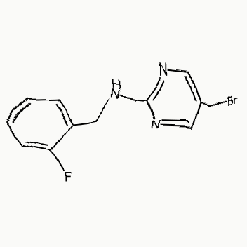 Fc1ccccc1CNc1ncc(Br)cn1